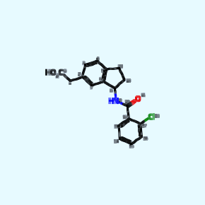 O=C(O)Cc1ccc2c(c1)C(NC(=O)c1ccccc1Cl)CC2